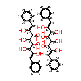 OC(=Cc1ccccc1)C(O)C(O)C(O)C(O)C(O)=Cc1ccccc1.OC(=Cc1ccccc1)C(O)C(O)C(O)C(O)C(O)=Cc1ccccc1